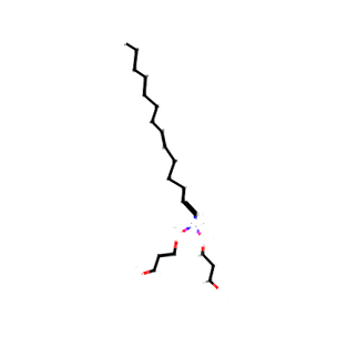 CCCCCCCCCCCCC=CN(OCCCO)OCCCO